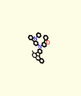 CC1CCC2C=c3ccccc3=C3C2=C1c1cc(N(c2ccc4oc5ccccc5c4c2)c2ccc4c5ccccc5n(-c5ccccc5)c4c2)ccc13